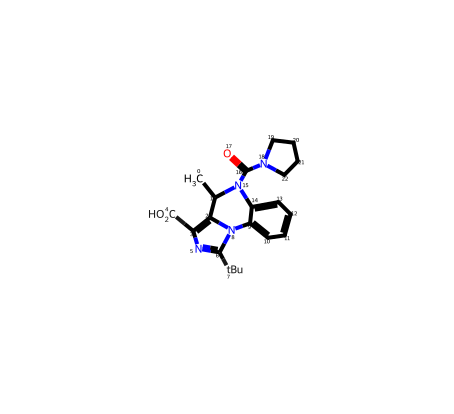 CC1c2c(C(=O)O)nc(C(C)(C)C)n2-c2ccccc2N1C(=O)N1CCCC1